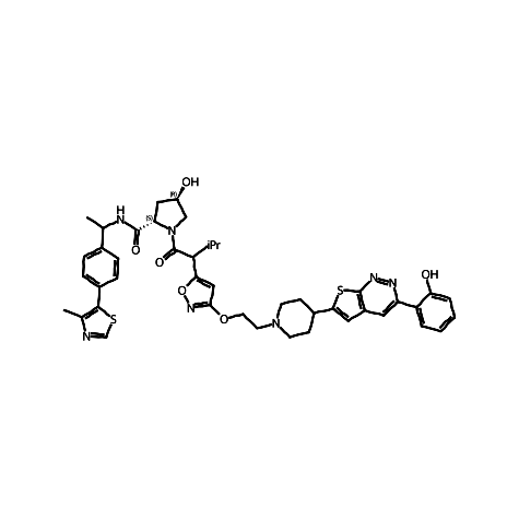 Cc1ncsc1-c1ccc(C(C)NC(=O)[C@@H]2C[C@@H](O)CN2C(=O)C(c2cc(OCCN3CCC(c4cc5cc(-c6ccccc6O)nnc5s4)CC3)no2)C(C)C)cc1